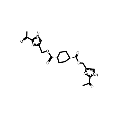 CC(=O)c1nc(COC(=O)[C@H]2CC[C@@H](C(=O)OCc3c[nH]c(C(C)=O)n3)CC2)c[nH]1